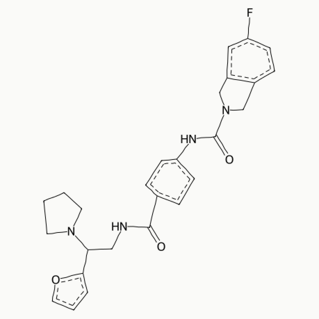 O=C(NCC(c1ccco1)N1CCCC1)c1ccc(NC(=O)N2Cc3ccc(F)cc3C2)cc1